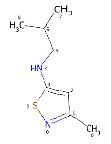 Cc1cc(NCC(C)C)sn1